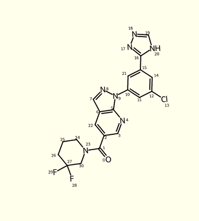 O=C(c1cnc2c(cnn2-c2cc(Cl)cc(-c3nnc[nH]3)c2)c1)N1CCCC(F)(F)C1